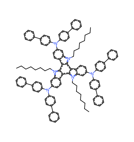 CCCCCCCCn1c2cc(N(c3ccc(-c4ccccc4)cc3)c3ccc(-c4ccccc4)cc3)ccc2c2c1c1c3ccc(N(c4ccc(-c5ccccc5)cc4)c4ccc(-c5ccccc5)cc4)cc3n(CCCCCCCC)c1c1c3ccc(N(c4ccc(-c5ccccc5)cc4)c4ccc(-c5ccccc5)cc4)cc3n(CCCCCCCC)c21